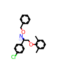 Cc1cccc(C)c1OC/C(=N\OCc1ccccc1)c1ccc(Cl)cc1